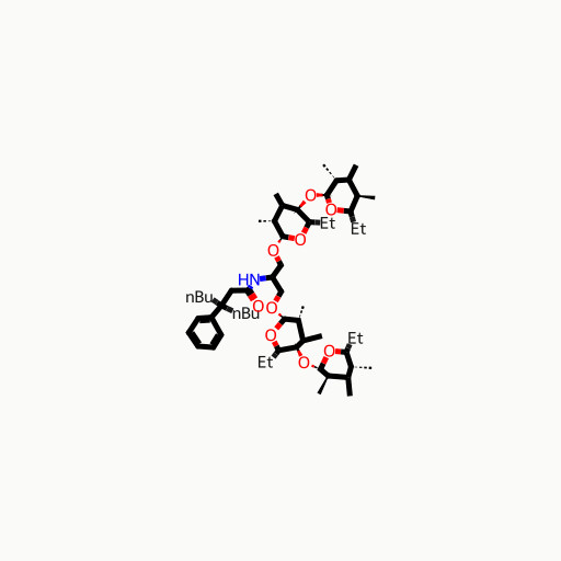 CCCCC(CCCC)(CC(=O)NC(CO[C@H]1OC(CC)[C@H](O[C@@H]2OC(CC)[C@H](C)C(C)[C@H]2C)C(C)[C@H]1C)CO[C@H]1OC(CC)[C@H](O[C@@H]2OC(CC)[C@H](C)C(C)[C@H]2C)C(C)[C@H]1C)c1ccccc1